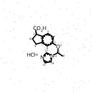 CC(Oc1ccc2c(c1)CCC2C(=O)O)n1ccnc1.Cl